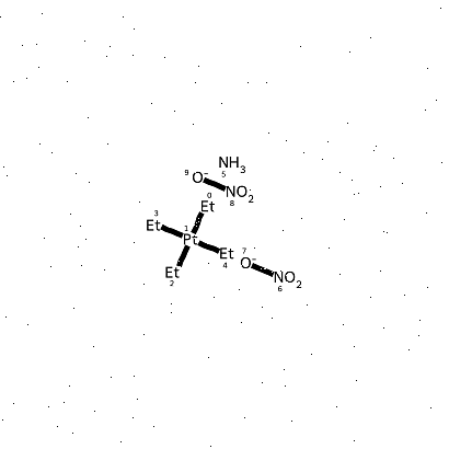 C[CH2][Pt]([CH2]C)([CH2]C)[CH2]C.N.O=[N+]([O-])[O-].O=[N+]([O-])[O-]